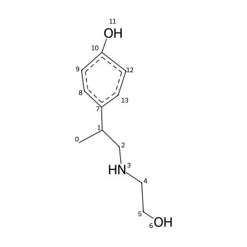 CC(CNCCO)c1ccc(O)cc1